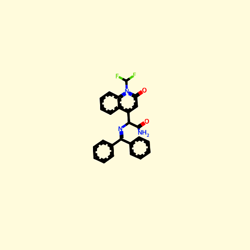 NC(=O)C(N=C(c1ccccc1)c1ccccc1)c1cc(=O)n(C(F)F)c2ccccc12